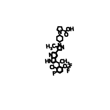 Cc1c(-c2cnc3[nH]cc([C@H](C)c4c(OC(F)F)ccc(F)c4Cl)c3c2)cnn1[C@H]1CC[C@H](N2CCC[C@H]2C(=O)O)CC1